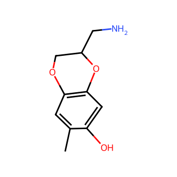 Cc1cc2c(cc1O)OC(CN)CO2